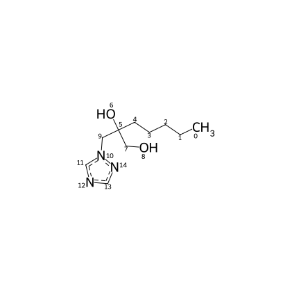 CCCCCC(O)(CO)Cn1cncn1